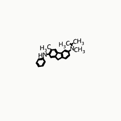 Cc1cc2c(cc1Nc1ccccc1)Cc1ccc(N(C)C(C)C)cc1-2